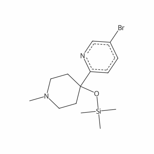 CN1CCC(O[Si](C)(C)C)(c2ccc(Br)cn2)CC1